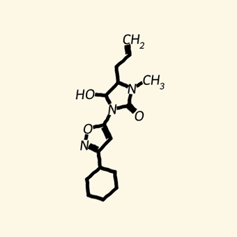 C=CCC1C(O)N(c2cc(C3CCCCC3)no2)C(=O)N1C